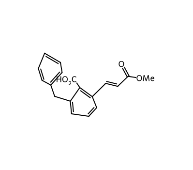 COC(=O)C=Cc1cccc(Cc2ccccc2)c1C(=O)O